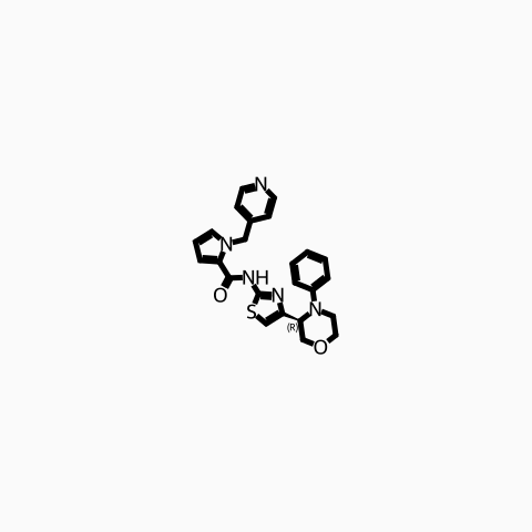 O=C(Nc1nc([C@@H]2COCCN2c2ccccc2)cs1)c1cccn1Cc1ccncc1